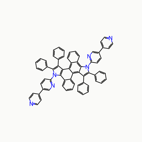 c1ccc(-c2c(-c3ccccc3)n(-c3ccc(-c4ccncc4)cn3)c3c4ccccc4c4c5c(-c6ccccc6)c(-c6ccccc6)n(-c6ccc(-c7ccncc7)cn6)c5c5ccccc5c4c23)cc1